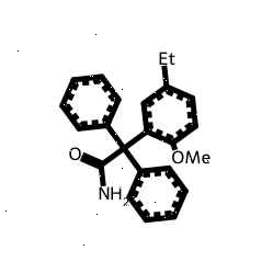 [CH2]Cc1ccc(OC)c(C(C(N)=O)(c2ccccc2)c2ccccc2)c1